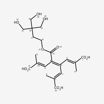 CC(=CC(C=C(C)C(=O)O)=C(C=C(C)C(=O)O)C(=O)OCCC(CO)(CO)CO)C(=O)O